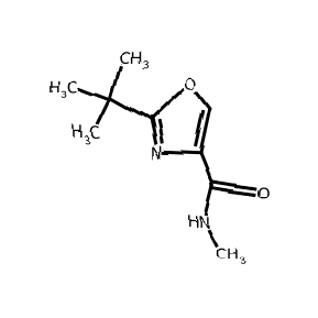 CNC(=O)c1coc(C(C)(C)C)n1